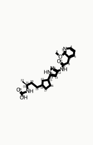 COc1ncccc1CC(=O)Nc1cc(C2CCC(CC[C@H](C)NC(=O)O)C2)[nH]n1